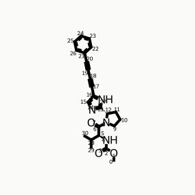 COC(=O)N[C@H](C(=O)N1CCC[C@H]1c1ncc(C#CC#Cc2ccccc2)[nH]1)C(C)C